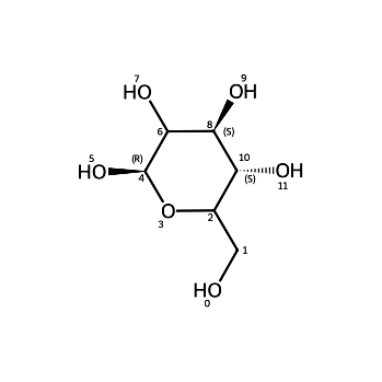 OCC1O[C@@H](O)C(O)[C@@H](O)[C@@H]1O